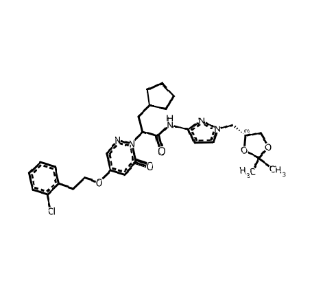 CC1(C)OC[C@@H](Cn2ccc(NC(=O)C(CC3CCCC3)n3ncc(OCCc4ccccc4Cl)cc3=O)n2)O1